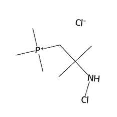 CC(C)(C[P+](C)(C)C)NCl.[Cl-]